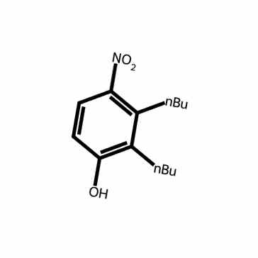 CCCCc1c(O)ccc([N+](=O)[O-])c1CCCC